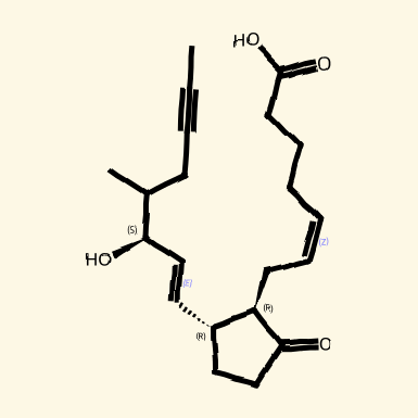 CC#CCC(C)[C@H](O)/C=C/[C@H]1CCC(=O)[C@@H]1C/C=C\CCCC(=O)O